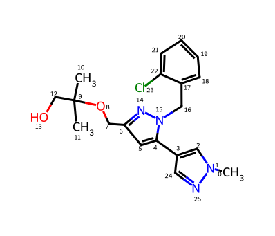 Cn1cc(-c2cc(COC(C)(C)CO)nn2Cc2ccccc2Cl)cn1